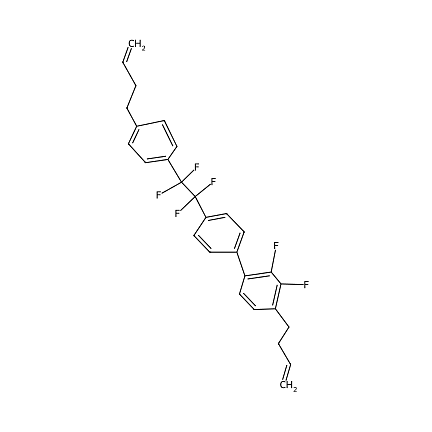 C=CCCc1ccc(C(F)(F)C(F)(F)c2ccc(-c3ccc(CCC=C)c(F)c3F)cc2)cc1